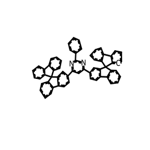 c1ccc(-c2nc(-c3ccc4c(c3)C3(c5ccccc5-c5ccccc53)c3ccccc3-4)cc(-c3ccc4c(c3)C3(c5ccccc5-c5ccccc53)c3ccccc3-4)n2)cc1